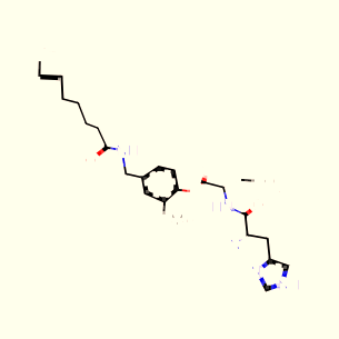 COc1cc(CNC(=O)CCCC/C=C/C(C)C)ccc1OC(=O)[C@H](CC(=O)O)NC(=O)[C@@H](N)Cc1c[nH]cn1